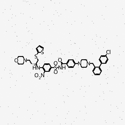 O=C(NS(=O)(=O)c1ccc(N[C@H](CCN2CCOCC2)CSc2cccs2)c([N+](=O)[O-])c1)c1ccc(N2CCN(Cc3ccccc3-c3ccc(Cl)cc3)CC2)cc1